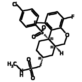 CNS(=O)(=O)C[C@@H]1CC[C@@]2(S(=O)(=O)c3ccc(Cl)cc3)c3c(F)ccc(F)c3OC[C@H]2C1